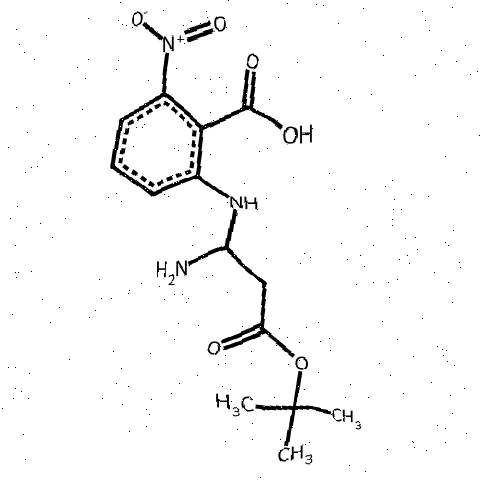 CC(C)(C)OC(=O)CC(N)Nc1cccc([N+](=O)[O-])c1C(=O)O